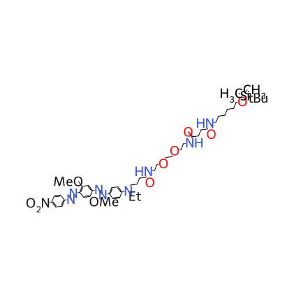 CCN(CCCC(=O)NCCOCCOCCNC(=O)CCC(=O)NCCCCCCO[Si](C)(C)C(C)(C)C)c1ccc(N=Nc2cc(OC)c(N=Nc3ccc([N+](=O)[O-])cc3)cc2OC)cc1